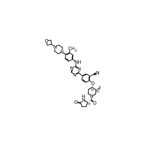 Cc1cc(Nc2ncnc(-c3ccc(O[C@H]4CCN(C(=O)[C@@H]5CCC(=O)N5)C[C@@H]4F)c(C#N)c3)n2)ccc1N1CCN(C2COC2)CC1